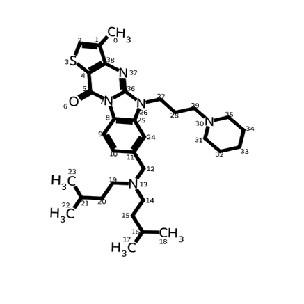 Cc1csc2c(=O)n3c4ccc(CN(CCC(C)C)CCC(C)C)cc4n(CCCN4CCCCC4)c3nc12